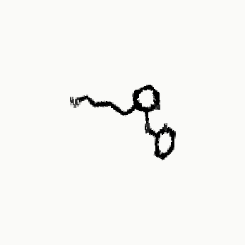 CCCCCc1cccnc1Oc1ccccn1